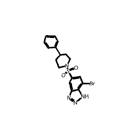 O=S(=O)(c1cc(Br)c2[nH]nnc2c1)N1CCC(c2ccccc2)CC1